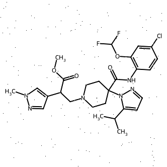 COC(=O)C(CN1CCC(C(=O)Nc2ccc(Cl)cc2OC(F)F)(n2nccc2C(C)C)CC1)c1cnn(C)c1